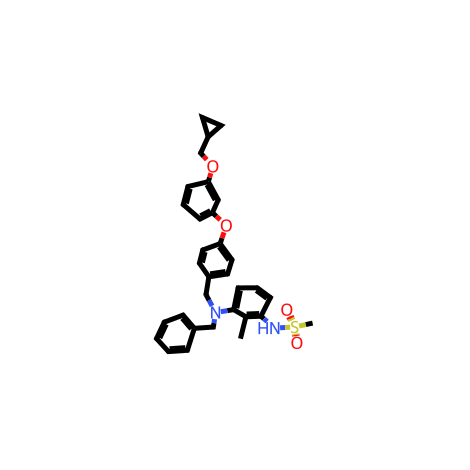 Cc1c(NS(C)(=O)=O)cccc1N(Cc1ccccc1)Cc1ccc(Oc2cccc(OCC3CC3)c2)cc1